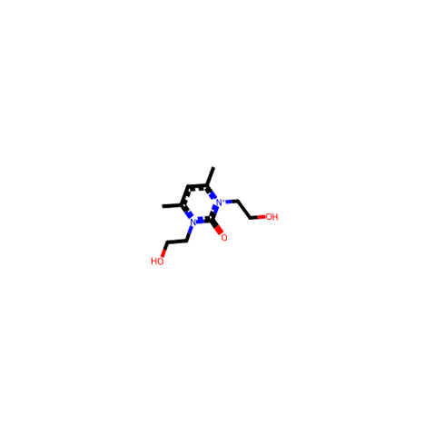 Cc1cc(C)[n+](CCO)c(=O)n1CCO